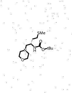 CSCC[C@@H](CN1CCOCC1)NC(=O)OC(C)(C)C